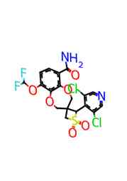 NC(=O)c1ccc(OC(F)F)c2c1OCC1(CO2)CS(=O)(=O)C1c1c(Cl)cncc1Cl